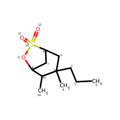 CCCC1(C)CC2CC(OS2(=O)=O)C1C